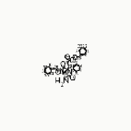 NCC(=O)N(c1ccccc1)C1(CCC(=O)OOCc2ccccc2)CN(OCc2ccccc2)C1=O